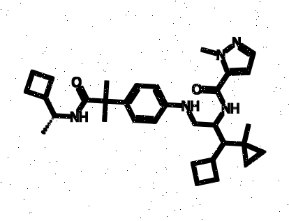 C[C@@H](NC(=O)C(C)(C)c1ccc(NCC(NC(=O)c2ccnn2C)C(C2CCC2)C2(C)CC2)cc1)C1CCC1